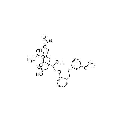 COc1cccc(CCc2ccccc2OCC(C)C(CCCO[N+](=O)[O-])(CC(=O)O)C(=O)ON(C)C)c1